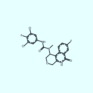 CN(C(=O)Nc1cc(Cl)c(F)c(Cl)c1)C1COCc2[nH]c(=O)c3cc(F)ccc3c21